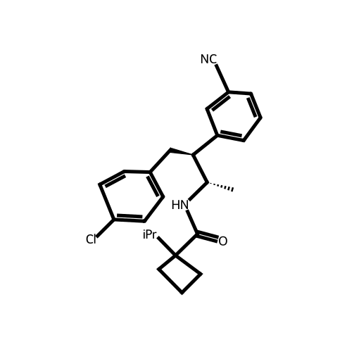 CC(C)C1(C(=O)N[C@@H](C)[C@@H](Cc2ccc(Cl)cc2)c2cccc(C#N)c2)CCC1